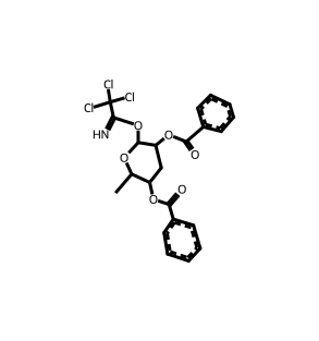 CC1OC(OC(=N)C(Cl)(Cl)Cl)C(OC(=O)c2ccccc2)CC1OC(=O)c1ccccc1